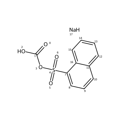 O=C(O)OS(=O)(=O)c1cccc2ccccc12.[NaH]